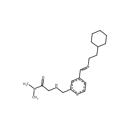 CN(C)C(=O)CNCc1cc(C=NCCC2CCCCC2)ccn1